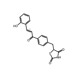 O=C1NC(=O)C(Cc2ccc(C(=O)/C=C/c3ccccc3O)cc2)S1